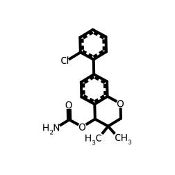 CC1(C)COc2cc(-c3ccccc3Cl)ccc2C1OC(N)=O